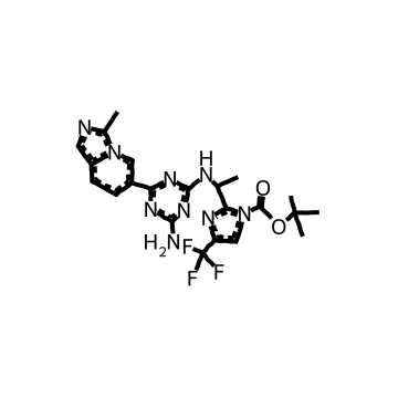 Cc1ncc2ccc(-c3nc(N)nc(NC(C)c4nc(C(F)(F)F)cn4C(=O)OC(C)(C)C)n3)cn12